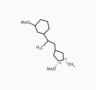 COC1CCCC(C(C)CC2C[C@H](C)[C@H](OC)C2)C1